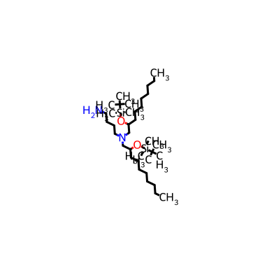 CCCCCCCCC(CN(CCCCN)CC(CCCCCCCC)O[Si](C)(C)C(C)(C)C)O[Si](C)(C)C(C)(C)C